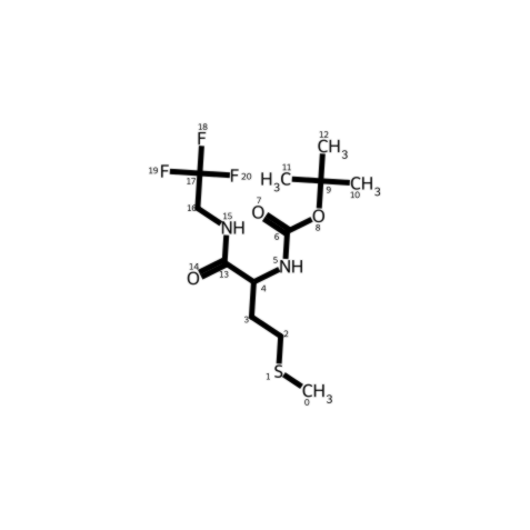 CSCCC(NC(=O)OC(C)(C)C)C(=O)NCC(F)(F)F